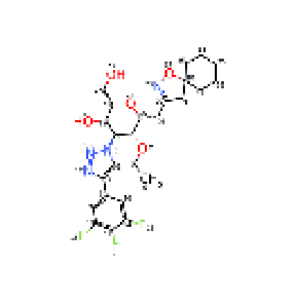 CCO[C@@H]1[C@@H](n2cc(-c3cc(F)c(F)c(F)c3)nn2)[C@@H](O)[C@@H](CO)O[C@@H]1CC1=NOC2(CCCCC2)C1